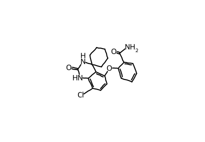 NC(=O)c1ccccc1Oc1ccc(Cl)c2c1C1(CCCCC1)NC(=O)N2